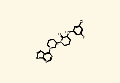 O=C1C(Nc2cc(F)cc(Cl)c2)CCCN1[C@@H]1CCCN(c2ncnc3[nH]ncc23)C1